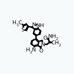 C=C(CN1Cc2c(-c3ccc4[nH]nc(-c5csc(C)c5)c4c3)ccc(N)c2C1=O)C(N)=O